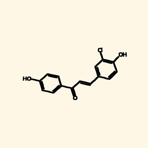 O=C(/C=C/c1ccc(O)c(Cl)c1)c1ccc(O)cc1